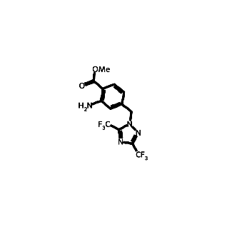 COC(=O)c1ccc(Cn2nc(C(F)(F)F)nc2C(F)(F)F)cc1N